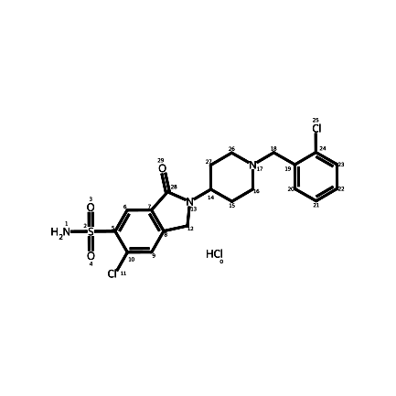 Cl.NS(=O)(=O)c1cc2c(cc1Cl)CN(C1CCN(Cc3ccccc3Cl)CC1)C2=O